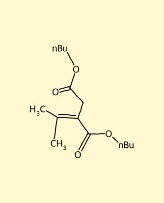 CCCCOC(=O)CC(C(=O)OCCCC)=C(C)C